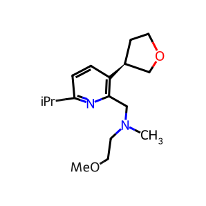 COCCN(C)Cc1nc(C(C)C)ccc1[C@H]1CCOC1